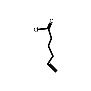 C=CCCCC(=O)Cl